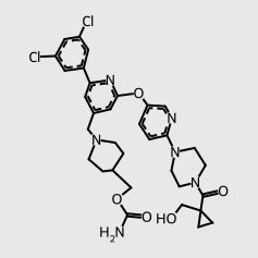 NC(=O)OCC1CCN(Cc2cc(Oc3ccc(N4CCN(C(=O)C5(CO)CC5)CC4)nc3)nc(-c3cc(Cl)cc(Cl)c3)c2)CC1